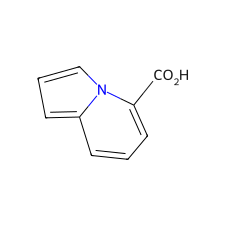 O=C(O)c1cccc2cccn12